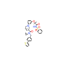 CC(C)(Oc1cccc(N2CCCC(C(=O)N(Cc3ccc(-c4cccs4)cc3)C3CC3)C2)c1)C(=O)NS(=O)(=O)c1ccccc1